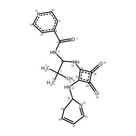 CC(C)(C)C(NC(=O)c1ccncc1)Nc1c(NC2CC=CC=N2)c(=O)c1=O